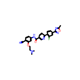 Cc1nc(-c2ccc(-c3ccc(C(=O)Nc4ccc(C#N)c(OCCN(C)C)c4)cn3)c(F)c2)no1